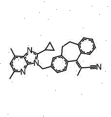 CC(C#N)=C1c2ccccc2CCc2cc(Cn3c(C4CC4)nc4c(C)cc(C)nc43)ccc21